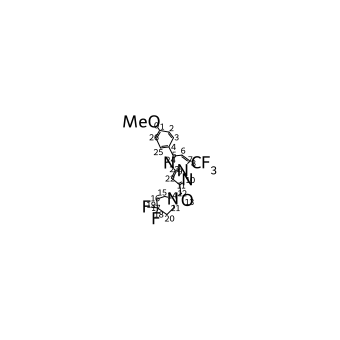 COc1ccc(-c2cc(C(F)(F)F)n3nc(C(=O)N4CCC(F)(F)CC4)cc3n2)cc1